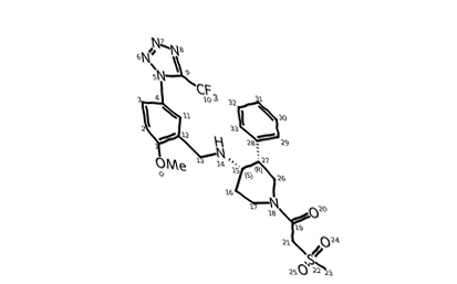 COc1ccc(-n2nnnc2C(F)(F)F)cc1CN[C@H]1CCN(C(=O)CS(C)(=O)=O)C[C@H]1c1ccccc1